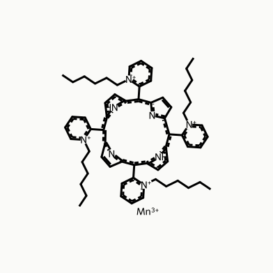 CCCCCC[n+]1ccccc1-c1c2nc(c(-c3cccc[n+]3CCCCCC)c3ccc([nH]3)c(-c3cccc[n+]3CCCCCC)c3nc(c(-c4cccc[n+]4CCCCCC)c4ccc1[nH]4)C=C3)C=C2.[Mn+3]